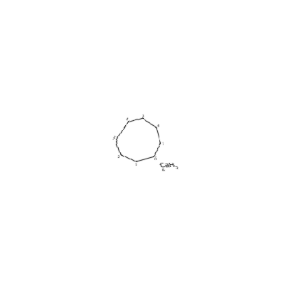 [CH]1CCCCCCC1.[CaH2]